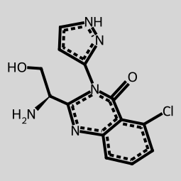 N[C@@H](CO)c1nc2cccc(Cl)c2c(=O)n1-c1cc[nH]n1